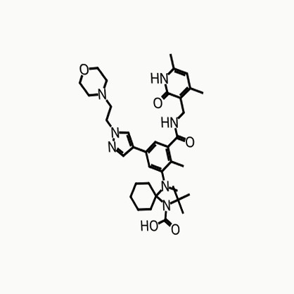 Cc1cc(C)c(CNC(=O)c2cc(-c3cnn(CCN4CCOCC4)c3)cc(N(C)C3(N(C(=O)O)C(C)(C)C)CCCCC3)c2C)c(=O)[nH]1